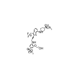 CN(C)C1CCC(Nc2cccc3c(CC(F)(F)F)c(C#CCNc4ccc(S(C)(=O)=O)cc4OCCO)sc23)CC1